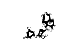 Cl.Fc1cc(F)cc(OC2CC(NCc3c(F)ccc4cnccc34)C2)c1